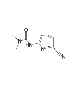 CN(C)C(=O)Nc1cccc(C#N)n1